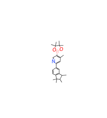 Cc1cc(-c2ccc3c(c2)C(C)C(C)C3(C)C)ncc1B1OC(C)(C)C(C)(C)O1